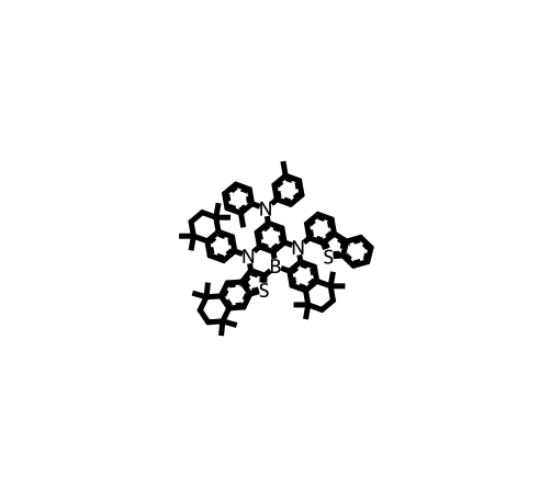 Cc1cccc(N(c2cc3c4c(c2)N(c2cccc5c2sc2ccccc25)c2cc5c(cc2B4c2sc4cc6c(cc4c2N3c2ccc3c(c2)C(C)(C)CCC3(C)C)C(C)(C)CCC6(C)C)C(C)(C)CCC5(C)C)c2ccccc2C)c1